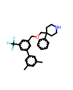 Cc1cc(C)cc(-c2cc(COCC3(c4ccccc4)CCNCC3)cc(C(F)(F)F)c2)c1